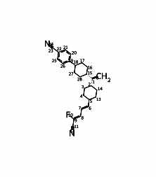 C=C([C@H]1CC[C@H](/C=C/C=C(\F)C#N)CC1)[C@H]1CC[C@H](c2ccc(C#N)cc2)CC1